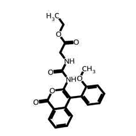 CCOC(=O)CNC(=O)Nc1oc(=O)c2ccccc2c1-c1ccccc1OC